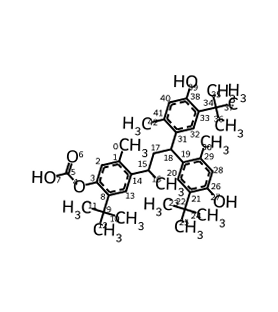 Cc1cc(OC(=O)O)c(C(C)(C)C)cc1C(C)CC(c1cc(C(C)(C)C)c(O)cc1C)c1cc(C(C)(C)C)c(O)cc1C